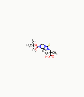 CC(C)(C)OC(=O)N1CCN2C(=S)N(CC(C)(C)C(=O)O)C[C@H]2C1